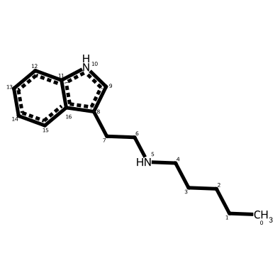 CCCCCNCCc1c[nH]c2ccccc12